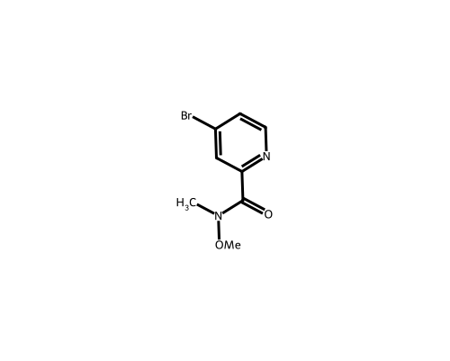 CON(C)C(=O)c1cc(Br)ccn1